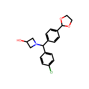 OC1CN(C(c2ccc(Cl)cc2)c2ccc(C3OCCO3)cc2)C1